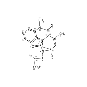 CC1=C[C@@H]2CN(C(=O)N2O[C@@H](F)C(=O)O)[C@@H]1C(=O)N(C)c1cnccn1